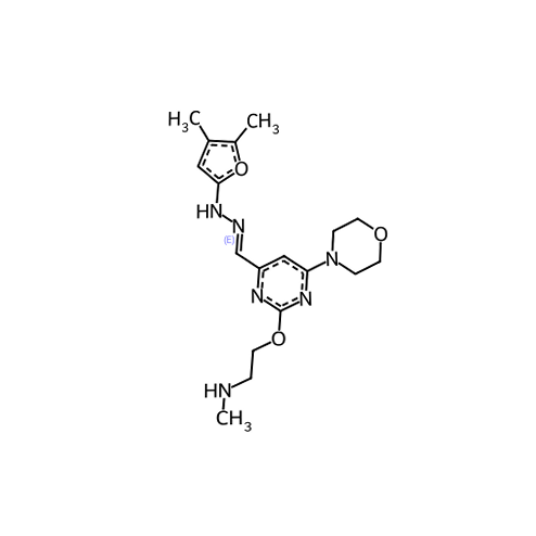 CNCCOc1nc(/C=N/Nc2cc(C)c(C)o2)cc(N2CCOCC2)n1